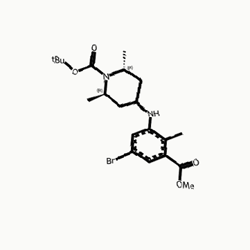 COC(=O)c1cc(Br)cc(NC2C[C@@H](C)N(C(=O)OC(C)(C)C)[C@H](C)C2)c1C